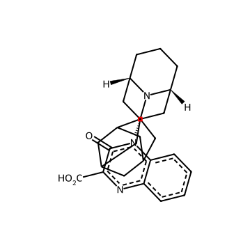 O=C(O)c1nc2ccccc2n([C@H]2C[C@H]3CCC[C@@H](C2)N3C23CC4CC(CC2C4)C3)c1=O